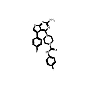 Nc1nc(N2CCN(C(=O)Nc3ccc(F)cc3)CC2)c2c(-c3ccc(F)cc3)csc2n1